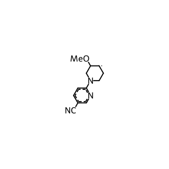 COC1[CH]CCN(c2ccc(C#N)cn2)C1